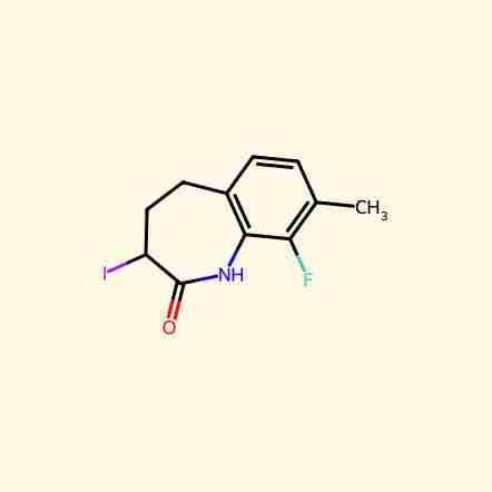 Cc1ccc2c(c1F)NC(=O)C(I)CC2